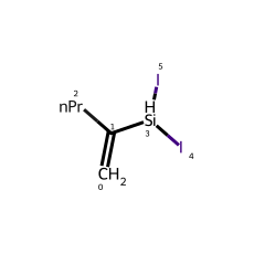 C=C(CCC)[SiH](I)I